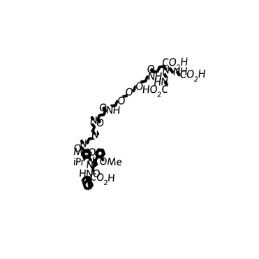 COc1cccc(OC)c1-c1cc(C(=O)NC2(C(=O)O)C3CC4CC(C3)CC2C4)nn1-c1ccc(C(=O)N(C)CCCN(C)CCCN(C)C(=O)CCC(=O)NCCCOCCOCCOCCCNC(=O)CCC(C(=O)O)N(CCNCC(=O)O)CCNCC(=O)O)cc1C(C)C